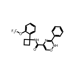 O=C(NC1(c2ccccc2OC(F)(F)F)CCC1)C1=CONC(c2ccccc2)=N1